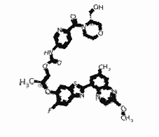 COc1cnc2c(-c3nc4cc(F)c(O[C@@H](C)COC(=O)Nc5ccc(C(=O)N6CCOC[C@H]6CO)nc5)cc4s3)cc(C)cc2n1